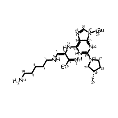 CCC(=N)/C(=C\NCCCCCN)Nc1nc(N2CC[C@H](F)C2)nc2c1ncn2C(C)(C)C